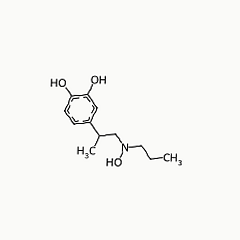 CCCN(O)CC(C)c1ccc(O)c(O)c1